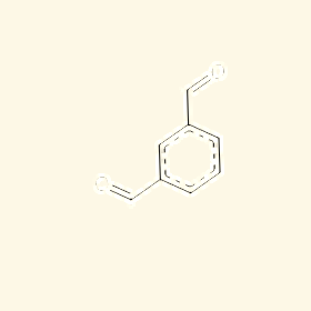 O=[C]c1cccc([C]=O)c1